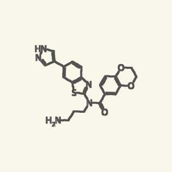 NCCCN(C(=O)c1ccc2c(c1)OCCO2)c1nc2ccc(-c3cn[nH]c3)cc2s1